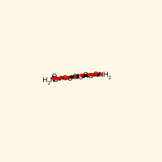 NCCOCCOCCOCCOCCOCCOCCOCCCCOC(N)=O